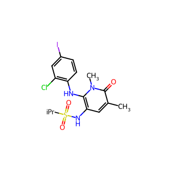 Cc1cc(NS(=O)(=O)C(C)C)c(Nc2ccc(I)cc2Cl)n(C)c1=O